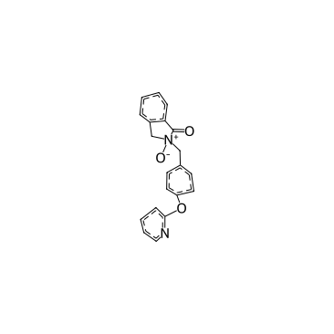 O=C1c2ccccc2C[N+]1([O-])Cc1ccc(Oc2ccccn2)cc1